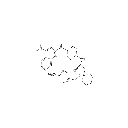 COc1ccc(CSC2(CC(=O)NC3CCC(Nc4cc(N(C)C)c5ccccc5n4)CC3)CCCCC2)cc1